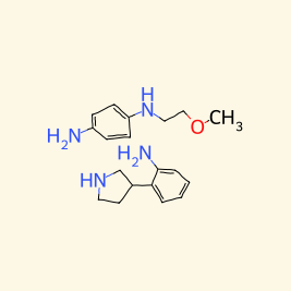 COCCNc1ccc(N)cc1.Nc1ccccc1C1CCNC1